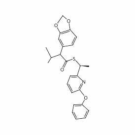 CC(C)C(C(=O)S[C@@H](C)c1cccc(Oc2ccccc2)n1)c1ccc2c(c1)OCO2